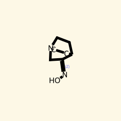 O/N=C1\CN2CCC1CC2